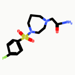 NC(=O)CN1CCCN(S(=O)(=O)c2ccc(F)cc2)CC1